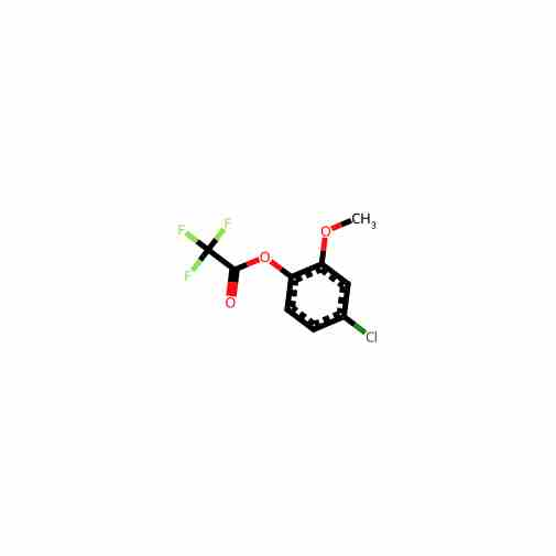 COc1cc(Cl)ccc1OC(=O)C(F)(F)F